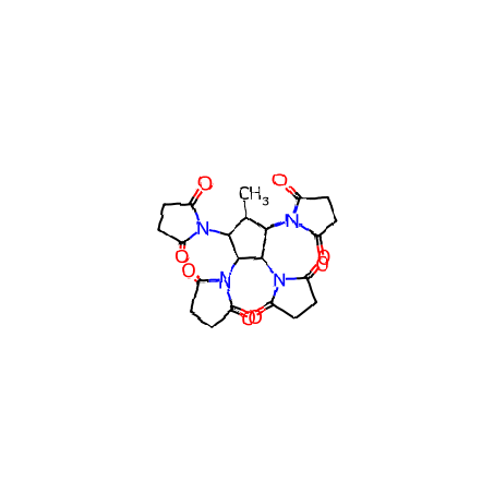 CC1C(N2C(=O)CCC2=O)C(N2C(=O)CCC2=O)C(N2C(=O)CCC2=O)C1N1C(=O)CCC1=O